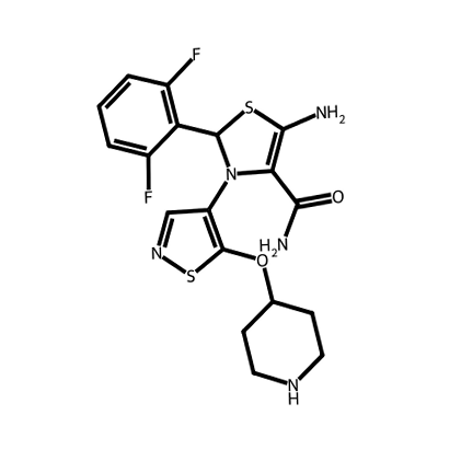 NC(=O)C1=C(N)SC(c2c(F)cccc2F)N1c1cnsc1OC1CCNCC1